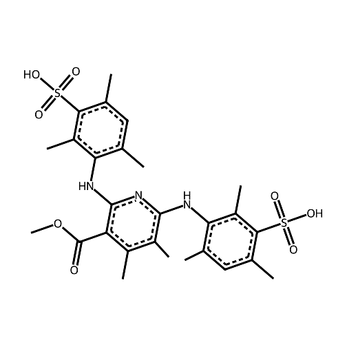 COC(=O)c1c(Nc2c(C)cc(C)c(S(=O)(=O)O)c2C)nc(Nc2c(C)cc(C)c(S(=O)(=O)O)c2C)c(C)c1C